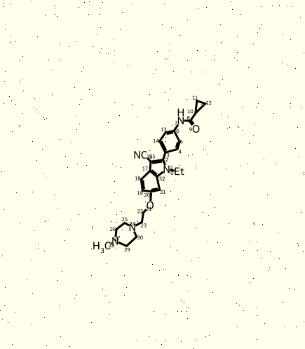 CCn1c(-c2ccc(NC(=O)C3CC3)cc2)c(C#N)c2ccc(OCCN3CCN(C)CC3)cc21